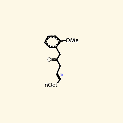 CCCCCCCC/C=C/CC(=O)Cc1ccccc1OC